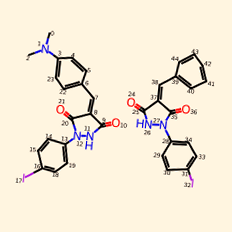 CN(C)c1ccc(C=C2C(=O)NN(c3ccc(I)cc3)C2=O)cc1.O=C1NN(c2ccc(I)cc2)C(=O)C1=Cc1ccccc1